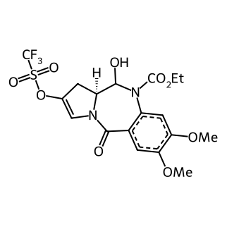 CCOC(=O)N1c2cc(OC)c(OC)cc2C(=O)N2C=C(OS(=O)(=O)C(F)(F)F)C[C@H]2C1O